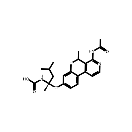 CC(=O)Nc1nccc2c1C(C)Oc1cc(O[C@@](C)(CC(C)C)NC(=O)O)ccc1-2